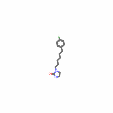 O=C1[N]CCN1CCCCCCc1ccc(Cl)cc1